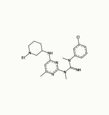 CCN1CCCC(Nc2cc(C)nc(N(C)C(=N)N(C)c3cccc(Cl)c3)n2)C1